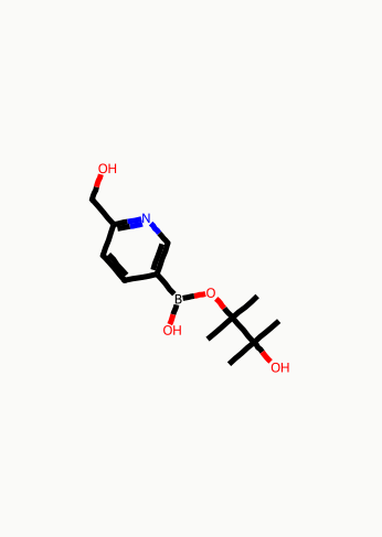 CC(C)(O)C(C)(C)OB(O)c1ccc(CO)nc1